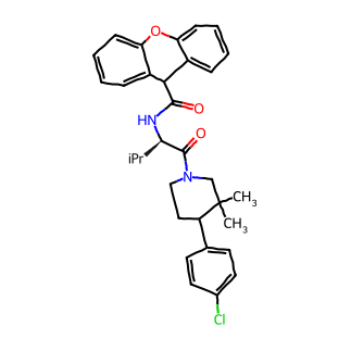 CC(C)[C@@H](NC(=O)C1c2ccccc2Oc2ccccc21)C(=O)N1CCC(c2ccc(Cl)cc2)C(C)(C)C1